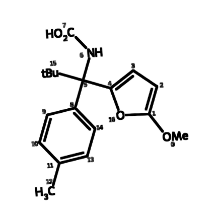 COc1ccc(C(NC(=O)O)(c2ccc(C)cc2)C(C)(C)C)o1